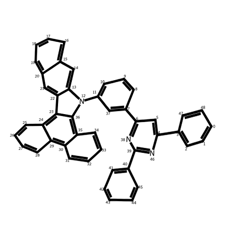 c1ccc(-c2cc(-c3cccc(-n4c5cc6ccccc6cc5c5c6ccccc6c6ccccc6c54)c3)nc(-c3ccccc3)n2)cc1